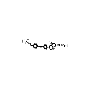 C=CCCc1ccc(C#Cc2ccc([C@@H]3CC[C@@H]4CC(CCCCCCC)CC[C@@H]4C3)cc2)cc1